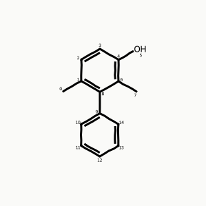 Cc1ccc(O)c(C)c1-c1ccccc1